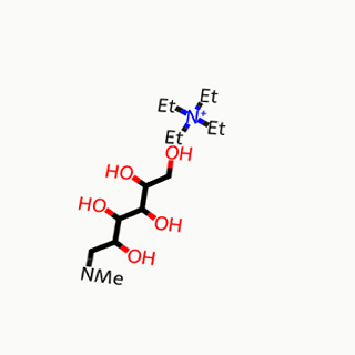 CC[N+](CC)(CC)CC.CNCC(O)C(O)C(O)C(O)CO